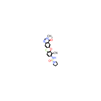 Cn1cnc2ccc(Oc3c(F)ccc(N[S+]([O-])N4CCCC4)c3C#N)cc2c1=O